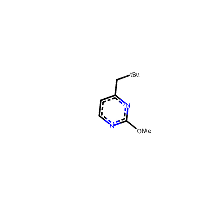 COc1nccc(CC(C)(C)C)n1